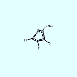 CC(C)(C)n1nc(C(F)(F)F)c(F)c1Cl